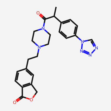 CC(C(=O)N1CCN(CCc2ccc3c(c2)COC3=O)CC1)c1ccc(-n2cnnn2)cc1